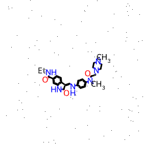 CCNC(=O)c1ccc2c(c1)NC(=O)C2=CNc1ccc(N(C)C(=O)CN2CCN(C)CC2)cc1